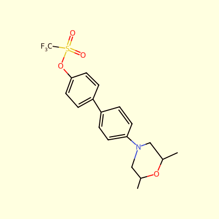 CC1CN(c2ccc(-c3ccc(OS(=O)(=O)C(F)(F)F)cc3)cc2)CC(C)O1